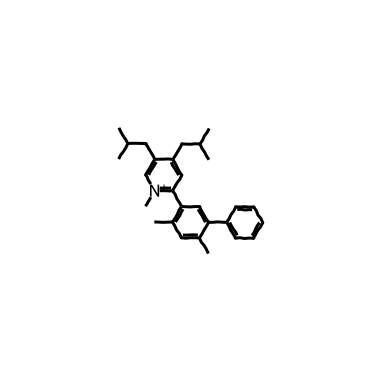 Cc1cc(C)c(-c2cc(CC(C)C)c(CC(C)C)c[n+]2C)cc1-c1ccccc1